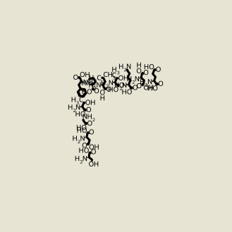 CC(C)C[C@H](N)C(=O)O.C[C@@H](O)[C@H](N)C(=O)O.C[C@@H](O)[C@H](N)C(=O)O.NCC(=O)O.NCCCC[C@H](N)C(=O)O.N[C@@H](CC(=O)O)C(=O)O.N[C@@H](CC(=O)O)C(=O)O.N[C@@H](CCC(=O)O)C(=O)O.N[C@@H](CO)C(=O)O.N[C@@H](Cc1ccccc1)C(=O)O.O=C(O)[C@@H]1CCCN1